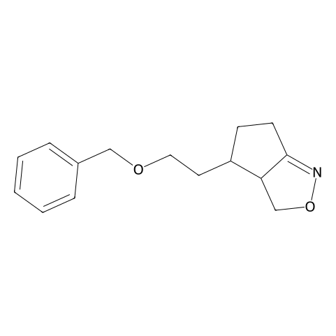 c1ccc(COCCC2CCC3=NOCC32)cc1